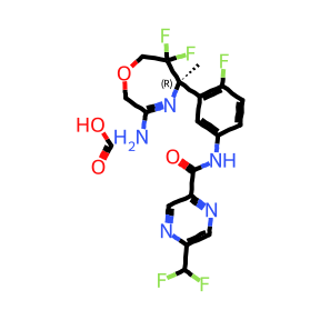 C[C@]1(c2cc(NC(=O)c3cnc(C(F)F)cn3)ccc2F)N=C(N)COCC1(F)F.O=CO